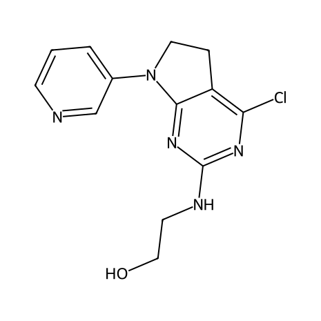 OCCNc1nc(Cl)c2c(n1)N(c1cccnc1)CC2